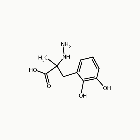 CC(Cc1cccc(O)c1O)(NN)C(=O)O